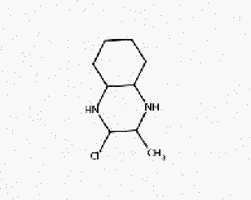 CC1NC2CCCCC2NC1Cl